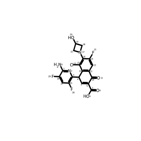 Nc1nc(C2C=C(C(=O)O)C(=O)c3cc(F)c(N4CC(O)C4)c(Cl)c32)c(F)cc1F